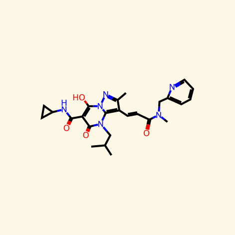 Cc1nn2c(O)c(C(=O)NC3CC3)c(=O)n(CC(C)C)c2c1C=CC(=O)N(C)Cc1ccccn1